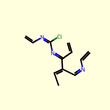 C=C\N=C/C(=C\C)C(/C=C)=N/C(Cl)=N\C=C